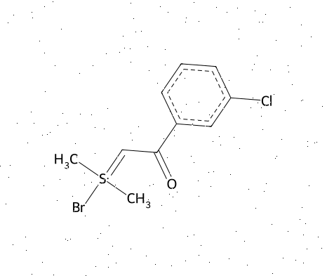 C[S](C)(Br)=CC(=O)c1cccc(Cl)c1